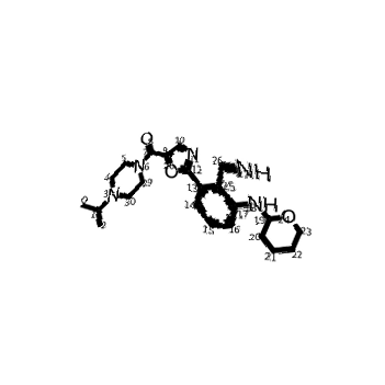 CC(C)N1CCN(C(=O)c2cnc(-c3cccc(NC4CCCCO4)c3C=N)o2)CC1